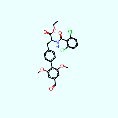 CCOC(=O)[C@H](Cc1ccc(-c2c(OC)cc(C=O)cc2OC)cc1)NC(=O)c1c(Cl)cccc1Cl